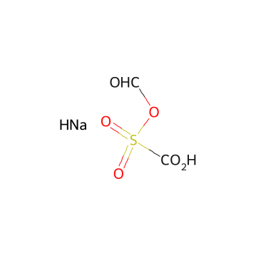 O=COS(=O)(=O)C(=O)O.[NaH]